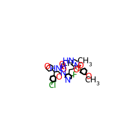 COC(=O)N[C@H](C(=O)Nc1cncc(F)c1CC[C@H]1CNC[C@H](C)N1S(=O)(=O)c1ccc(OC)cc1)C(c1ccc(Cl)cc1)C1CCOCC1